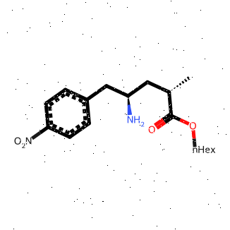 CCCCCCOC(=O)[C@@H](C)C[C@@H](N)Cc1ccc([N+](=O)[O-])cc1